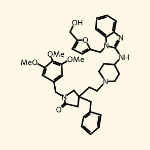 COc1cc(CN2CC(CCN3CCC(Nc4nc5ccccc5n4Cc4ccc(CO)o4)CC3)(Cc3ccccc3)CC2=O)cc(OC)c1OC